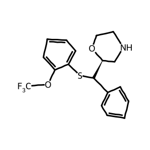 FC(F)(F)Oc1ccccc1SC(c1ccccc1)[C@@H]1CNCCO1